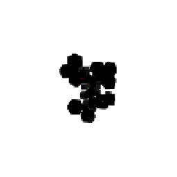 O=C(OC(c1ccccc1)c1ccccc1)C1=C(/C=C\c2cnns2)CS[C@@H]2C(NC(=O)/C(=N\OC(c3ccccc3)(c3ccccc3)c3ccccc3)c3csc(NC(c4ccccc4)(c4ccccc4)c4ccccc4)n3)C(=O)N12